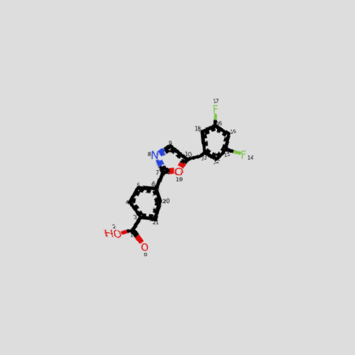 O=C(O)c1ccc(-c2ncc(-c3cc(F)cc(F)c3)o2)cc1